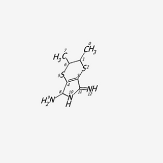 CC1SC2=C(SC1C)C(N)NC2=N